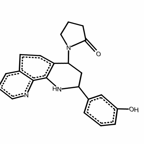 O=C1CCCN1C1CC(c2cccc(O)c2)Nc2c1ccc1cccnc21